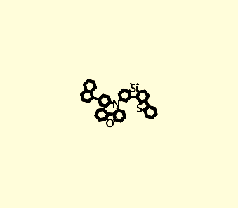 C[Si]1(C)c2ccc(N(c3ccc(-c4cccc5ccccc45)cc3)c3cccc4oc5ccccc5c34)cc2-c2c1ccc1c2sc2ccccc21